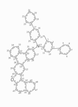 Cc1cc(-c2ccccc2)ccc1N(c1ccc(-c2ccccc2)cc1)c1ccc2c(c1)c1ccccc1c1cc3oc4ccc5ccccc5c4c3cc21